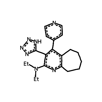 CCN(CC)c1nc2c(c(-c3ccncc3)c1-c1nnn[nH]1)CCCCC2